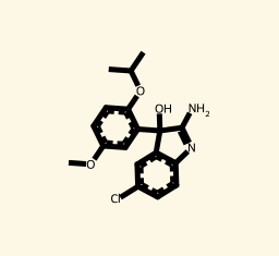 COc1ccc(OC(C)C)c(C2(O)C(N)=Nc3ccc(Cl)cc32)c1